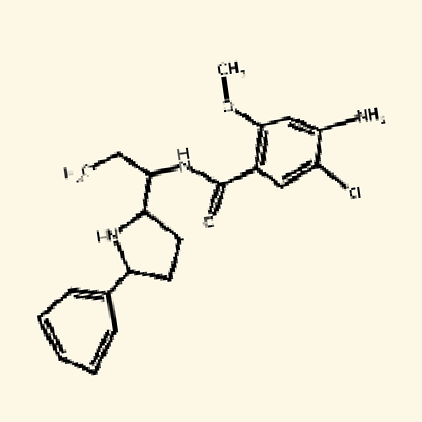 CCC(NC(=O)c1cc(Cl)c(N)cc1OC)C1CCC(c2ccccc2)N1